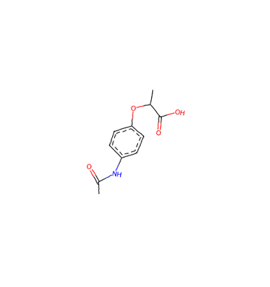 CC(=O)Nc1ccc(OC(C)C(=O)O)cc1